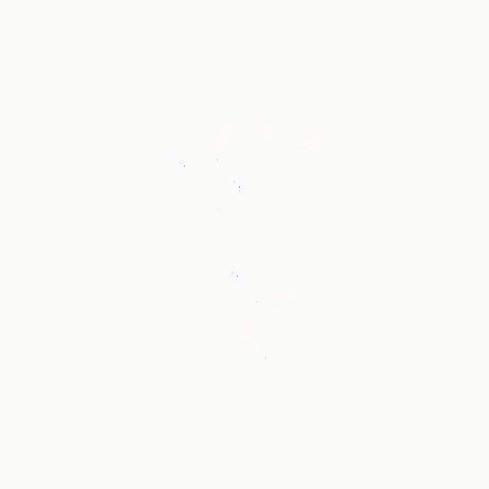 CCOC(=O)CN(C(=O)N1CCCC1)[C@H]1CCCN(C(=O)OC(C)(C)C)C1